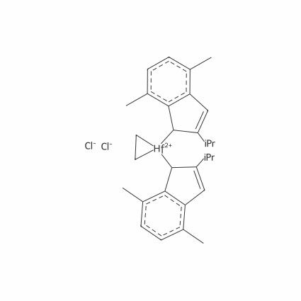 Cc1ccc(C)c2c1C=C(C(C)C)[CH]2[Hf+2]1([CH]2C(C(C)C)=Cc3c(C)ccc(C)c32)[CH2][CH2]1.[Cl-].[Cl-]